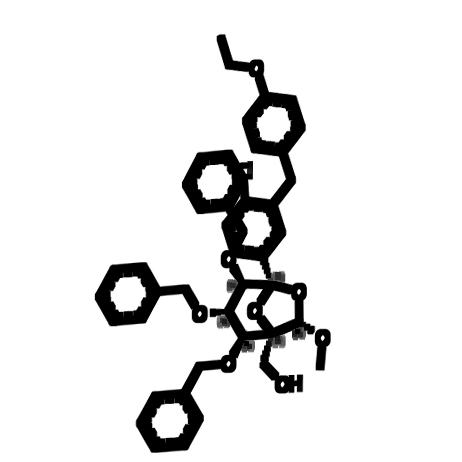 CCOc1ccc(Cc2cc([C@]34O[C@H](OC)[C@](CO)(O3)[C@@H](OCc3ccccc3)[C@H](OCc3ccccc3)[C@H]4OCc3ccccc3)ccc2Cl)cc1